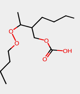 CCCCOOC(C)C(CCCC)COC(=O)O